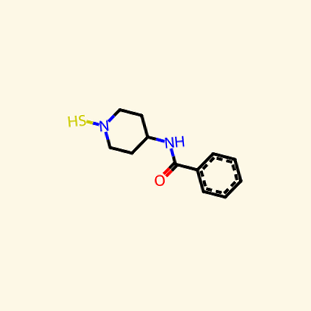 O=C(NC1CCN(S)CC1)c1ccccc1